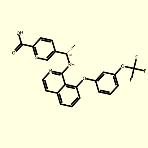 C[C@H](Nc1nccc2cccc(Oc3cccc(OC(F)(F)F)c3)c12)c1ccc(C(=O)O)nc1